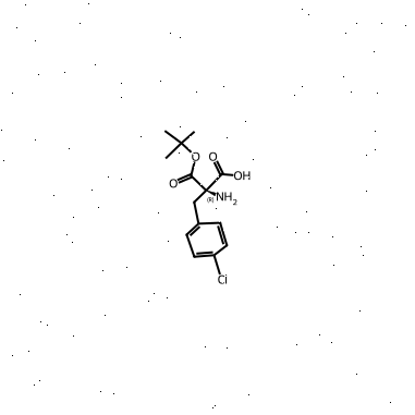 CC(C)(C)OC(=O)[C@@](N)(Cc1ccc(Cl)cc1)C(=O)O